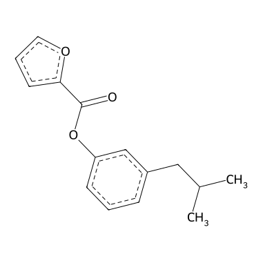 CC(C)Cc1cccc(OC(=O)c2ccco2)c1